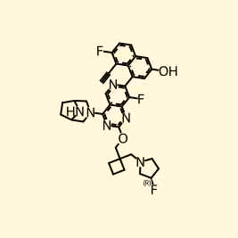 C#Cc1c(F)ccc2cc(O)cc(-c3ncc4c(N5CC6CCC(C5)N6)nc(OCC5(CN6CC[C@@H](F)C6)CCC5)nc4c3F)c12